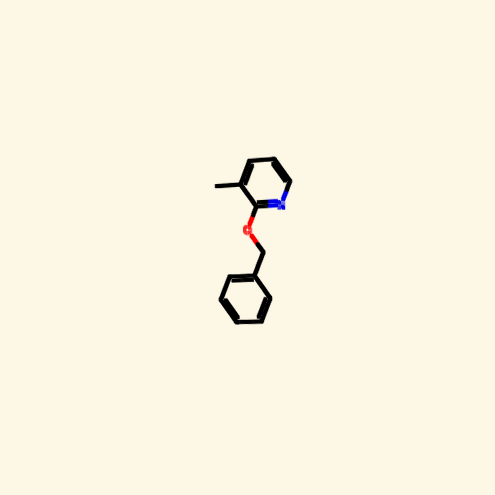 Cc1cccnc1OCc1ccccc1